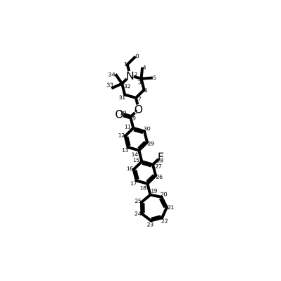 CCN1C(C)(C)CC(OC(=O)c2ccc(-c3ccc(C4C=CC=CC=C4)cc3F)cc2)CC1(C)C